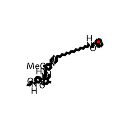 C=CC(=O)Nc1cccc(-n2c(=O)cc(C)c3cnc(Nc4ccc(N5CCN(CCCCCCCCCCCCCCNC(=O)CC67CC8CC(CC(C8)C6)C7)CC5)cc4OC)nc32)c1